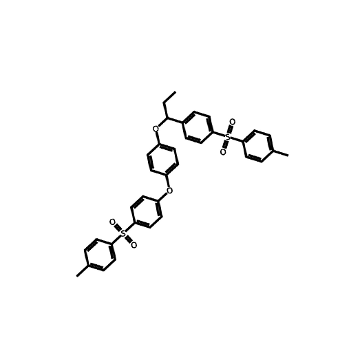 CCC(Oc1ccc(Oc2ccc(S(=O)(=O)c3ccc(C)cc3)cc2)cc1)c1ccc(S(=O)(=O)c2ccc(C)cc2)cc1